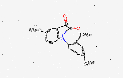 COc1ccc(N2C(=O)C(=O)c3cc(OC)ccc32)c(OC)c1